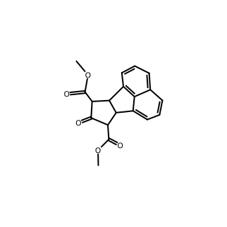 COC(=O)C1C(=O)C(C(=O)OC)C2c3cccc4cccc(c34)C12